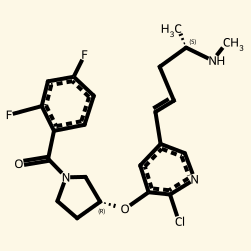 CN[C@@H](C)CC=Cc1cnc(Cl)c(O[C@@H]2CCN(C(=O)c3ccc(F)cc3F)C2)c1